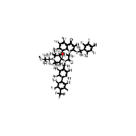 [2H]c1c([2H])c(F)c(F)c(C([2H])([2H])Sc2c([2H])c(=O)c3c([2H])c([2H])c([2H])c([2H])c3n2C([2H])([2H])C(=O)N(C([2H])([2H])c2c([2H])c([2H])c(-c3c([2H])c([2H])c(C(F)(F)F)c(C)c3[2H])c([2H])c2[2H])C2([2H])C([2H])([2H])C([2H])([2H])N(C([2H])([2H])C([2H])([2H])OC)C([2H])([2H])C2([2H])[2H])c1[2H]